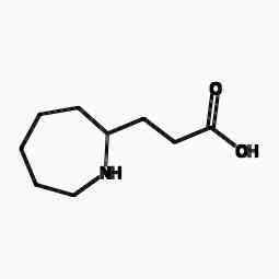 O=C(O)CCC1CCCCCN1